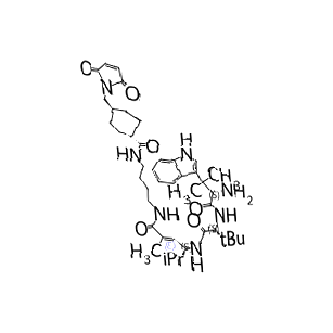 C/C(=C\[C@@H](NC(=O)[C@@H](NC(=O)[C@@H](N)C(C)(C)c1c[nH]c2ccccc12)C(C)(C)C)C(C)C)C(=O)NCCCCNC(=O)[C@H]1CC[C@H](CN2C(=O)C=CC2=O)CC1